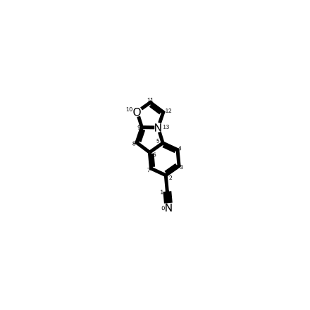 N#Cc1ccc2c(c1)cc1occn12